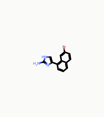 Nc1nc(-c2cccc3ccc(Br)cc23)c[nH]1